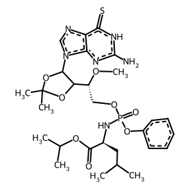 CO[C@H](COP(=O)(N[C@@H](CC(C)C)C(=O)OC(C)C)Oc1ccccc1)C1OC(C)(C)OC1n1cnc2c(=S)[nH]c(N)nc21